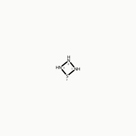 N1NSN1